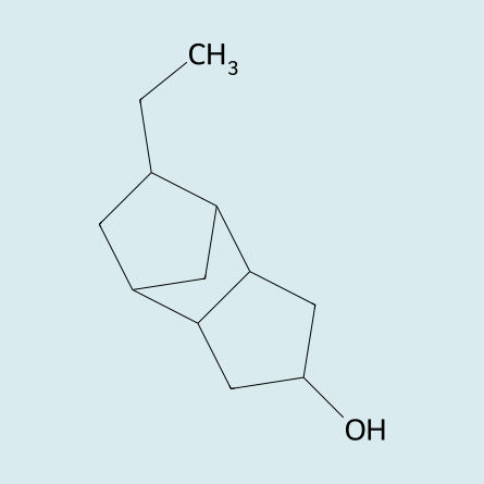 CCC1CC2CC1C1CC(O)CC21